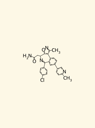 Cc1ccc(-c2ccc3c(c2)C(c2ccc(Cl)cc2)=NC(CC(N)=O)c2onc(C)c2-3)cn1